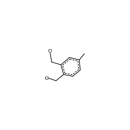 Cc1ccc(CCl)c(CCl)c1